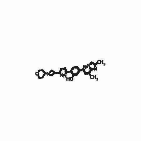 Cc1cn2nc(-c3ccc(-c4ccc(C5CN(C6CCOCC6)C5)nn4)c(O)c3)cc(C)c2n1